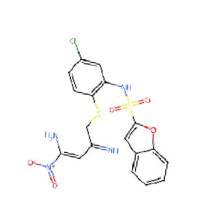 N=C(/C=C(\N)[N+](=O)[O-])CSc1ccc(Cl)cc1NS(=O)(=O)c1cc2ccccc2o1